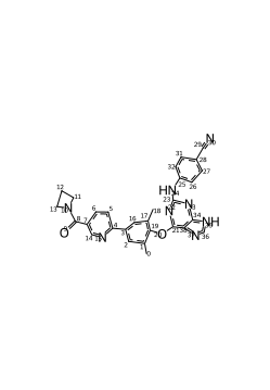 Cc1cc(-c2ccc(C(=O)N3CCC3)cn2)cc(C)c1Oc1nc(Nc2ccc(C#N)cc2)nc2[nH]cnc12